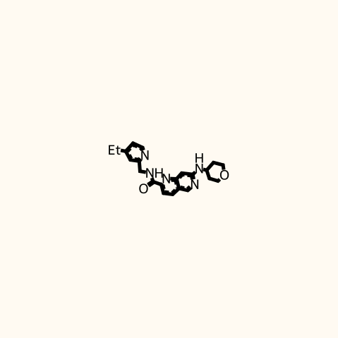 CCc1ccnc(CNC(=O)c2ccc3cnc(NC4CCOCC4)cc3n2)c1